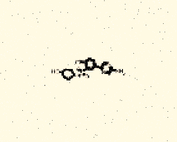 Nc1cnc(-c2ccc(Cl)c(S(=O)(=O)N[C@H]3CC[C@H](O)CC3)c2)cn1